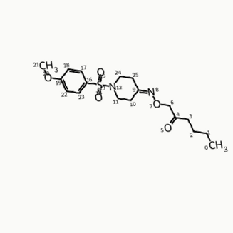 CCCCC(=O)CON=C1CCN(S(=O)(=O)c2ccc(OC)cc2)CC1